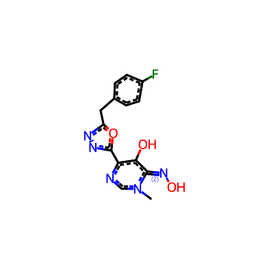 Cn1cnc(-c2nnc(Cc3ccc(F)cc3)o2)c(O)/c1=N/O